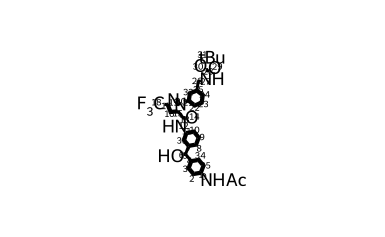 CC(=O)Nc1ccc(C(O)c2cccc(NC(=O)c3cc(C(F)(F)F)nn3-c3cccc(CNC(=O)OC(C)(C)C)c3)c2)cc1